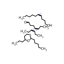 CC/C=C\CC.CC/C=C\CCC=O.CCCCC/C=C\CCCO.CCCCCC1OC(CCC)CCS1